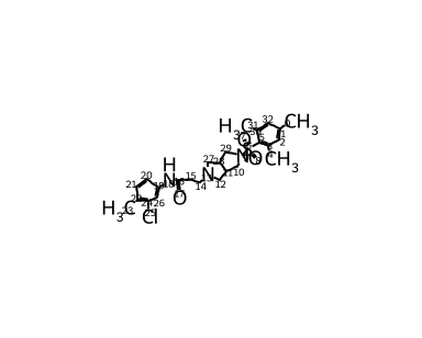 Cc1cc(C)c(S(=O)(=O)N2CC3CN(CCC(=O)Nc4ccc(C)c(Cl)c4)CC3C2)c(C)c1